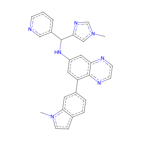 Cn1cnc(C(Nc2cc(-c3ccc4ccn(C)c4c3)c3nccnc3c2)c2cccnc2)c1